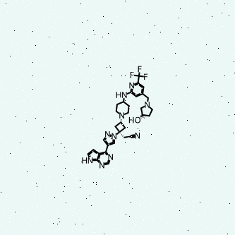 N#CC[C@]1(n2cc(-c3ncnc4[nH]ccc34)cn2)C[C@H](N2CCC(Nc3cc(CN4CC[C@@H](O)C4)cc(C(F)(F)F)n3)CC2)C1